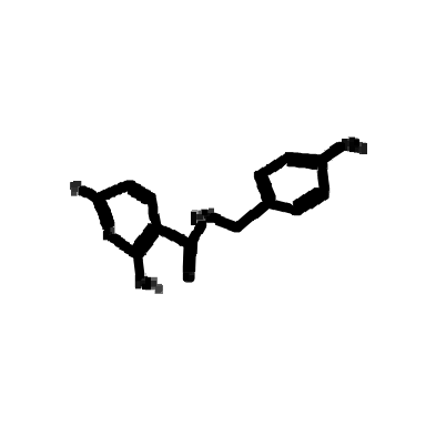 CCCCc1ccc(CNC(=O)c2ccc(F)nc2N)cc1